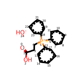 O=C(O)CC[P+](c1ccccc1)(c1ccccc1)c1ccccc1.[OH-]